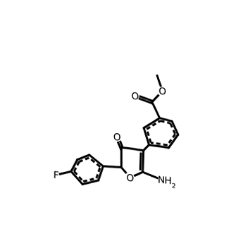 COC(=O)c1cccc(C2=C(N)OC(c3ccc(F)cc3)C2=O)c1